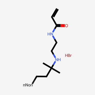 Br.C=CC(=O)NCCNC(C)(C)CCCCCCCCCCC